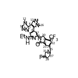 CCNc1cc(-c2c(-c3nncn3C)cnn2C)cc(N2Cc3c(cc(CN4CC[C@@H](F)C4)cc3C(F)(F)F)C2=O)n1